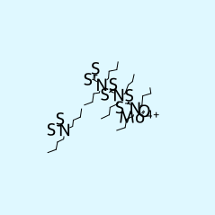 CCCCN(CCCC)C(=S)[S-].CCCCN(CCCC)C(=S)[S-].CCCCN(CCCC)C(=S)[S-].CCCCN(CCCC)C(=S)[S-].[O]=[Mo+4]